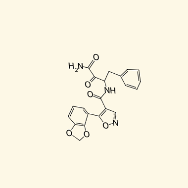 NC(=O)C(=O)C(Cc1ccccc1)NC(=O)c1cnoc1-c1cccc2c1OCO2